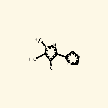 Cc1c(Cl)c(-c2ccco2)nn1C